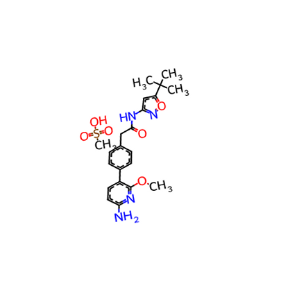 COc1nc(N)ccc1-c1ccc(CC(=O)Nc2cc(C(C)(C)C)on2)cc1.CS(=O)(=O)O